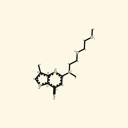 COCCOCCN(C)c1cc(=S)c2occ(C)c2o1